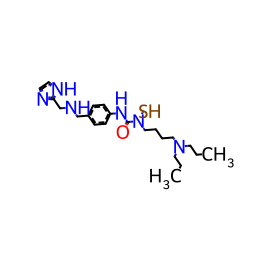 CCCN(CCC)CCCCN(S)C(=O)Nc1ccc(CNCc2ncc[nH]2)cc1